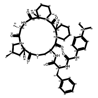 C[C@@H]1C[C@H]2C(=O)OC[C@H](NC(=O)[C@H](Cc3ccccc3)NC(=O)Nc3ccc(N(C)C)cc3)C(=O)N3CCCC[C@H]3C(=O)N3CCCC[C@H]3C(=O)N[C@@H](C)C(=O)N2C1